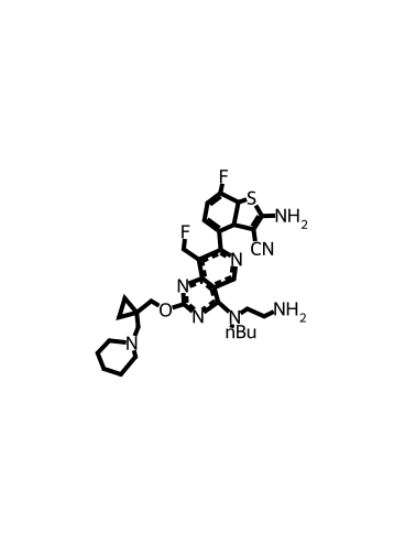 CCCCN(CCN)c1nc(OCC2(CN3CCCCC3)CC2)nc2c(CF)c(C3=CC=C(F)C4SC(N)=C(C#N)C34)ncc12